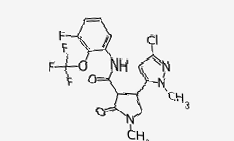 CN1CC(c2cc(Cl)nn2C)C(C(=O)Nc2cccc(F)c2OC(F)(F)F)C1=O